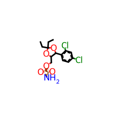 CCC1(CC)OC(COS(N)(=O)=O)C(c2ccc(Cl)cc2Cl)O1